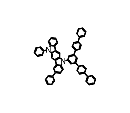 c1ccc(-c2ccc(-c3cc(-c4ccc(-c5ccccc5)cc4)cc(-n4c5ccc(-c6ccccc6)cc5c5cc6c(cc54)c4ccccc4n6-c4ccccc4)c3)cc2)cc1